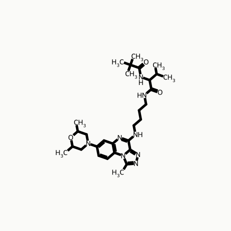 Cc1nnc2c(NCCCCNC(=O)C(NC(=O)C(C)(C)C)C(C)C)nc3cc(N4CC(C)OC(C)C4)ccc3n12